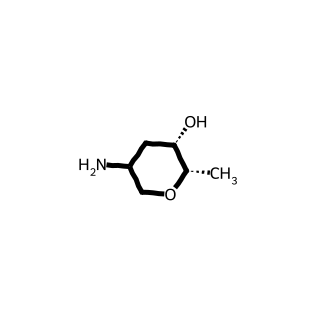 C[C@@H]1OCC(N)C[C@@H]1O